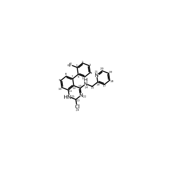 Fc1ccccc1-c1cccc2c1C(NCc1ccccn1)=NC(Cl)N2